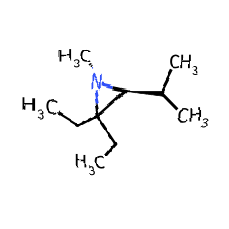 CCC1(CC)[C@H](C(C)C)[N@@]1C